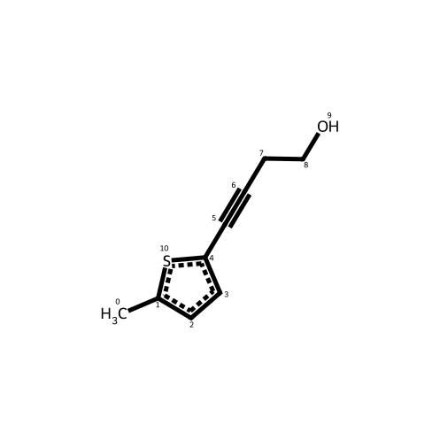 Cc1ccc(C#CCCO)s1